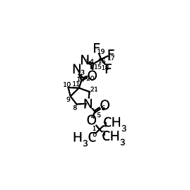 CC(C)(C)OC(=O)N1CC2CC2(c2nnc(C(F)(F)F)o2)C1